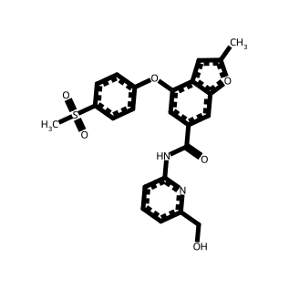 Cc1cc2c(Oc3ccc(S(C)(=O)=O)cc3)cc(C(=O)Nc3cccc(CO)n3)cc2o1